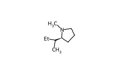 CCC(C)[C@@H]1CCCN1C